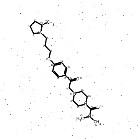 C[C@@H]1CCCN1CCCOc1ccc(C(=O)CN2CCN(C(=O)N(C)C)CC2)cc1